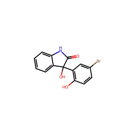 O=C1Nc2ccccc2C1(O)c1cc(Br)ccc1O